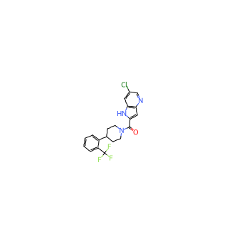 O=C(c1cc2ncc(Cl)cc2[nH]1)N1CCC(c2ccccc2C(F)(F)F)CC1